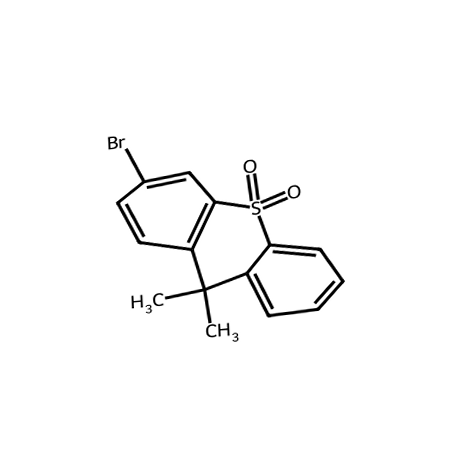 CC1(C)c2ccccc2S(=O)(=O)c2cc(Br)ccc21